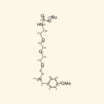 COc1ccc(CN(C)CCOCCOCCOCCNC(=O)OC(C)(C)C)cc1